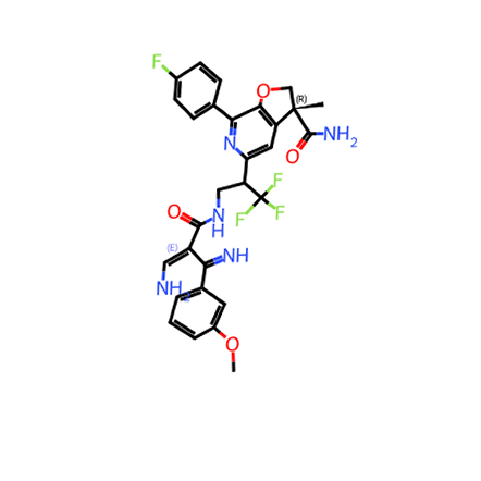 COc1cccc(C(=N)/C(=C\N)C(=O)NCC(c2cc3c(c(-c4ccc(F)cc4)n2)OC[C@]3(C)C(N)=O)C(F)(F)F)c1